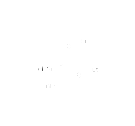 CCC[SiH2]C(OCC)OCC